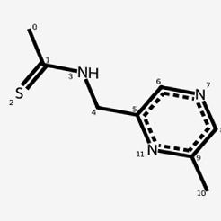 CC(=S)NCc1cncc(C)n1